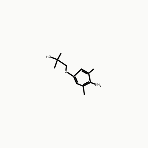 Cc1cc(OCC(C)(C)O)cc(C)c1N